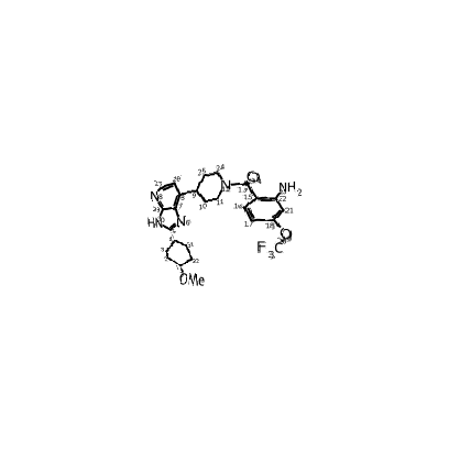 CO[C@H]1CC[C@H](c2nc3c(C4CCN(C(=O)c5ccc(OC(F)(F)F)cc5N)CC4)ccnc3[nH]2)CC1